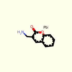 NCc1cc2ccccc2oc1=O.[Pb]